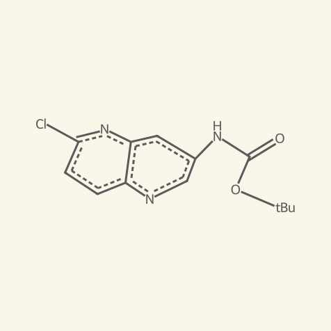 CC(C)(C)OC(=O)Nc1cnc2ccc(Cl)nc2c1